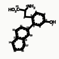 NC(Cc1ccc(O)cc1-c1ccc2ccccc2c1)C(=O)O